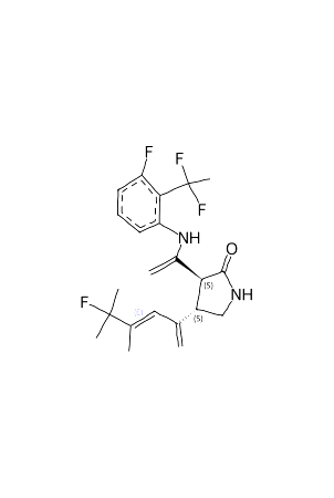 C=C(Nc1cccc(F)c1C(C)(F)F)[C@H]1C(=O)NC[C@@H]1C(=C)/C=C(\C)C(C)(C)F